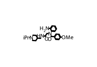 COc1ccc(C(=O)N(CC(=O)NCC2CCN(C(C)C)CC2)c2ccccc2N)cc1